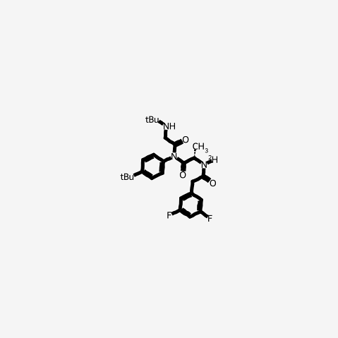 [2H]N(C(=O)Cc1cc(F)cc(F)c1)[C@@H](C)C(=O)N(C(=O)CNC(C)(C)C)c1ccc(C(C)(C)C)cc1